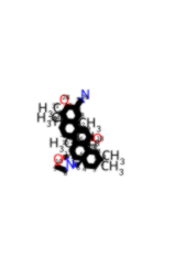 CC1(C)CC[C@]2(CN3CCOC3)CC[C@]3(C)[C@H](C(=O)C=C4[C@@]5(C)C=C(C#N)C(=O)C(C)(C)[C@@H]5CC[C@]43C)C2C1